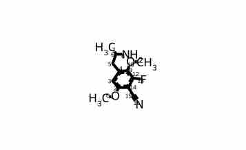 COc1cc(CC(C)N)c(OC)c(F)c1C#N